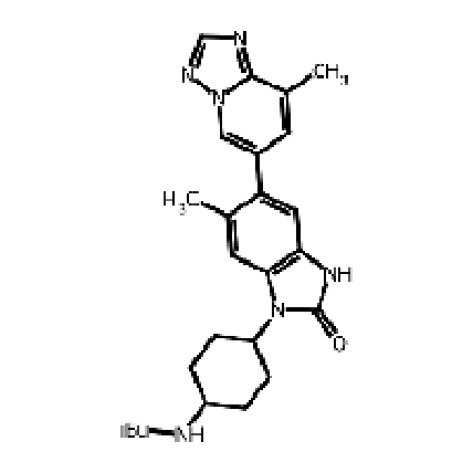 CCC(C)NC1CCC(n2c(=O)[nH]c3cc(-c4cc(C)c5ncnn5c4)c(C)cc32)CC1